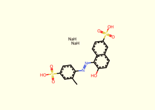 Cc1cc(S(=O)(=O)O)ccc1N=Nc1c(O)ccc2cc(S(=O)(=O)O)ccc12.[NaH].[NaH]